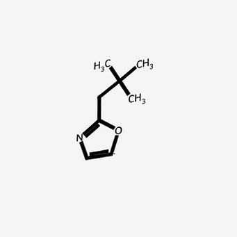 CC(C)(C)Cc1nc[c]o1